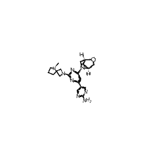 CN1CCCC12CN(c1nc(-c3cnc(N)nc3)cc(N3C[C@@H]4C[C@H]3CO4)n1)C2